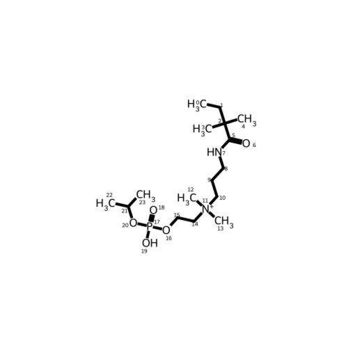 CCC(C)(C)C(=O)NCCC[N+](C)(C)CCOP(=O)(O)OC(C)C